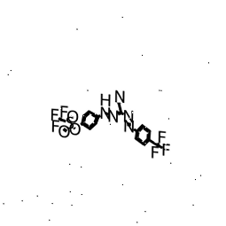 N#CC(N=Nc1ccc(C(F)(F)F)cc1)=NNc1ccc(OS(=O)(=O)C(F)(F)F)cc1